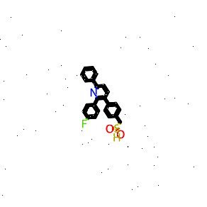 O=[SH](=O)Cc1ccc(-c2ccc(-c3ccccc3)nc2-c2ccc(F)cc2)cc1